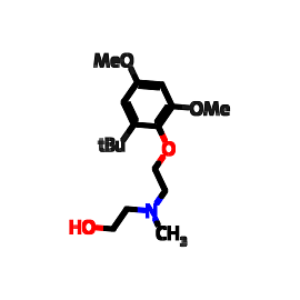 COc1cc(OC)c(OCCN(C)CCO)c(C(C)(C)C)c1